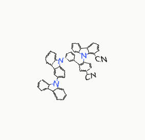 N#Cc1ccc(-n2c3ccccc3c3cccc(C#N)c32)c(-c2cccc(-n3c4ccccc4c4cc(-n5c6ccccc6c6ccccc65)ccc43)c2)c1